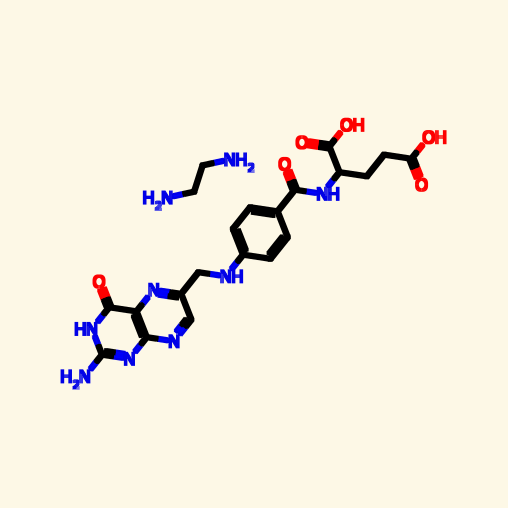 NCCN.Nc1nc2ncc(CNc3ccc(C(=O)NC(CCC(=O)O)C(=O)O)cc3)nc2c(=O)[nH]1